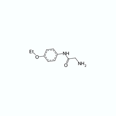 CCOc1ccc(NC(=O)CN)cc1